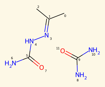 CC(C)=NNC(N)=O.NC(N)=O